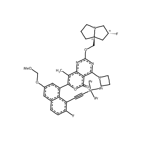 COCOc1cc(-c2oc(=O)c3c(N4CCC4)nc(OC[C@@]45CCCN4C[C@H](F)C5)nc3c2C)c2c(C#C[Si](C(C)C)(C(C)C)C(C)C)c(F)ccc2c1